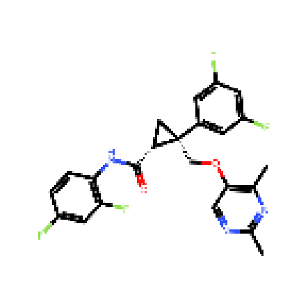 Cc1ncc(OC[C@@]2(c3cc(F)cc(F)c3)C[C@H]2C(=O)Nc2ccc(F)cc2F)c(C)n1